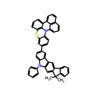 CC1(C)c2ccccc2-c2cc3c4cc(-c5ccc6c(c5)sc5cccc7c5-n6c5cccc6cccc7c65)ccc4n(-c4ccccc4)c3cc21